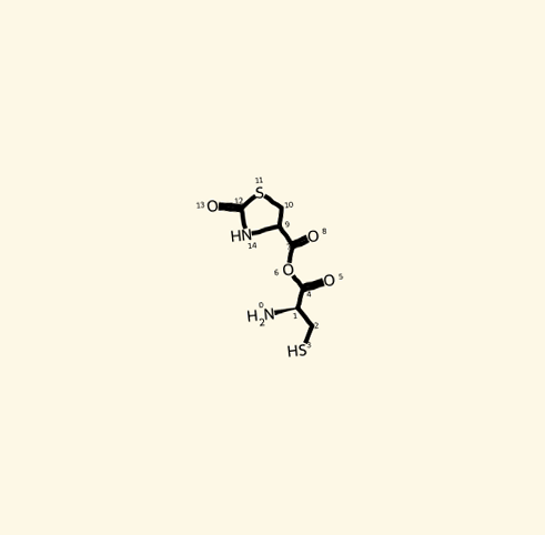 N[C@H](CS)C(=O)OC(=O)C1CSC(=O)N1